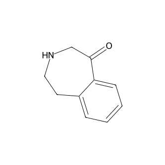 O=C1CNCCc2ccccc21